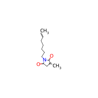 CC=CCCCCCN1C(=O)C[C@@H](C)C1=O